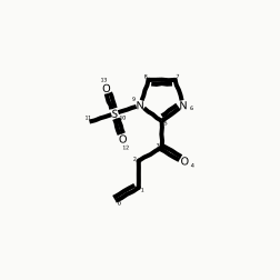 C=CCC(=O)c1nccn1S(C)(=O)=O